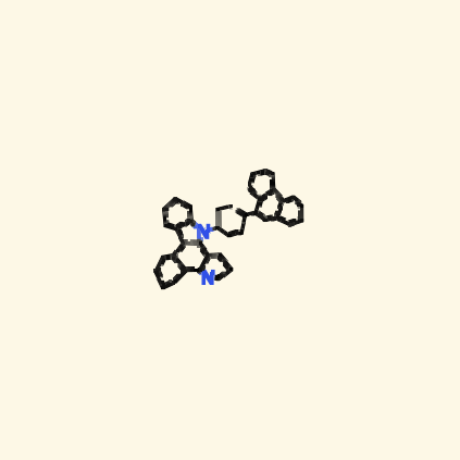 C=C(/C=C\C(=C/C)n1c2ccccc2c2c3ccccc3c3ncccc3c21)c1cc2ccccc2c2ccccc12